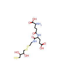 NC(CCC(=O)NC(CCC(=O)O)C(=O)NCCSSCC(O)C(O)CS)C(=O)O